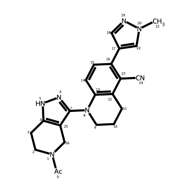 CC(=O)N1CCc2[nH]nc(N3CCCc4c3ccc(-c3cnn(C)c3)c4C#N)c2C1